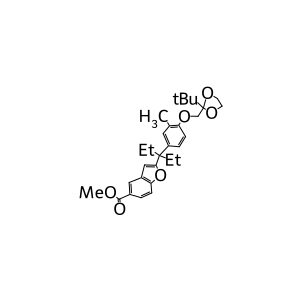 CCC(CC)(c1ccc(OCC2(C(C)(C)C)OCCO2)c(C)c1)c1cc2cc(C(=O)OC)ccc2o1